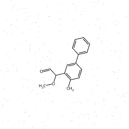 COC(C=O)c1cc(-c2ccccc2)ccc1C